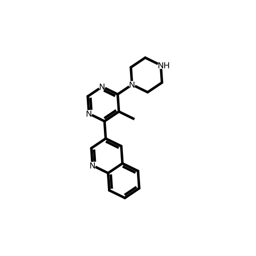 Cc1c(-c2cnc3ccccc3c2)ncnc1N1CCNCC1